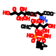 NC(CC(=O)[O-])C(=O)[O-].O=C(CO)C(O)C(O)C(O)CO.O=CC(O)C(O)C(O)C(O)CO.O=P([O-])(O)OP(=O)(O)O.[Mg+2].[Na+]